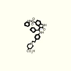 O=C1Nc2ccc(S(=O)(=O)Nc3ccccc3)cc2/C1=C(/Nc1ccc(CCN2CCC(C(=O)O)CC2)cc1)c1ccccc1